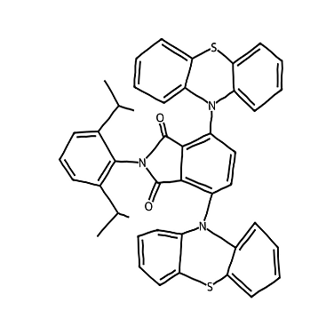 CC(C)c1cccc(C(C)C)c1N1C(=O)c2c(N3c4ccccc4Sc4ccccc43)ccc(N3c4ccccc4Sc4ccccc43)c2C1=O